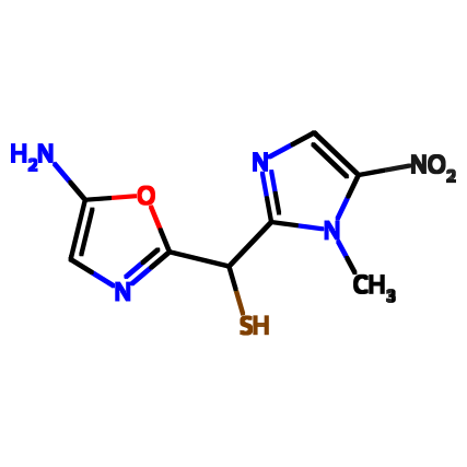 Cn1c([N+](=O)[O-])cnc1C(S)c1ncc(N)o1